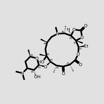 CC[C@H]1OC(=O)[C@H](C)C(=O)[C@H](C)[C@@H](O[C@@H]2O[C@H](C)CC(N(C)C)[C@H]2O)[C@](C)(O)C[C@@H](C)CN(C)[C@H](C)[C@H]2OC(=O)O[C@@]21C